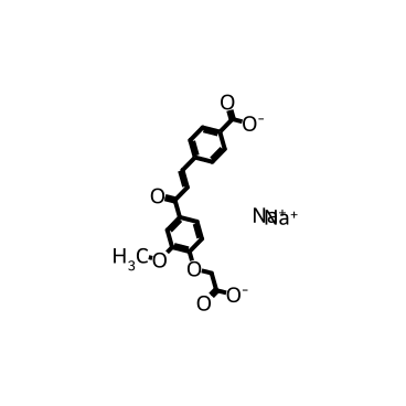 COc1cc(C(=O)C=Cc2ccc(C(=O)[O-])cc2)ccc1OCC(=O)[O-].[Na+].[Na+]